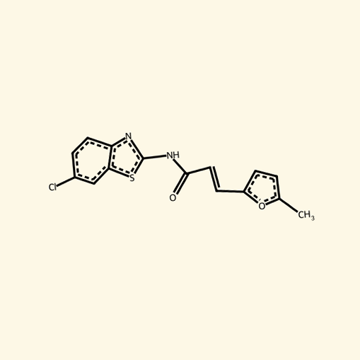 Cc1ccc(/C=C/C(=O)Nc2nc3ccc(Cl)cc3s2)o1